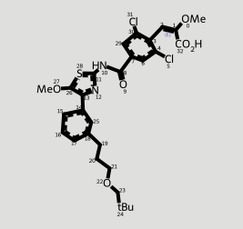 CO/C(=C/c1c(Cl)cc(C(=O)Nc2nc(-c3cccc(CCCOCC(C)(C)C)c3)c(OC)s2)cc1Cl)C(=O)O